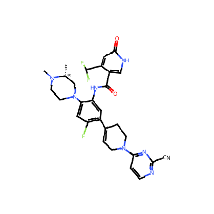 C[C@@H]1CN(c2cc(F)c(C3=CCN(c4ccnc(C#N)n4)CC3)cc2NC(=O)c2c[nH]c(=O)cc2C(F)F)CCN1C